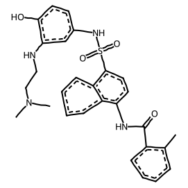 Cc1ccccc1C(=O)Nc1ccc(S(=O)(=O)Nc2ccc(O)c(NCCN(C)C)c2)c2ccccc12